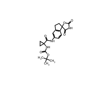 CC(C)(C)OC(=O)NC1(C(=O)Nc2ccc3c(c2)CCC32OC(=O)NC2=O)CC1